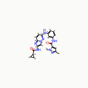 Cc1cc(C(=O)Nc2cccc(Nc3ccc4nc(NC(=O)C5CC5)cn4n3)c2)n(C)n1